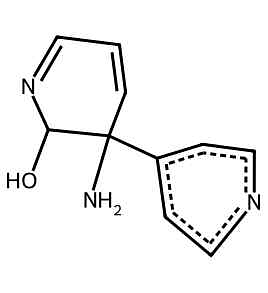 NC1(c2ccncc2)C=CC=NC1O